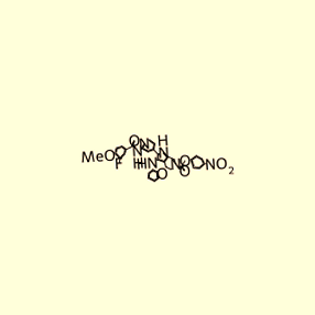 COc1ccc(C(=O)Nc2cc(-c3[nH]c4c(c3Nc3ccccc3)C(=O)CN(C(=O)Oc3ccc([N+](=O)[O-])cc3)C4)ccn2)cc1F